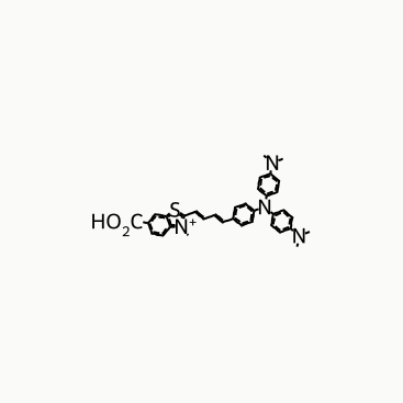 CN(C)c1ccc(N(c2ccc(/C=C/C=C/c3sc4cc(C(=O)O)ccc4[n+]3C)cc2)c2ccc(N(C)C)cc2)cc1